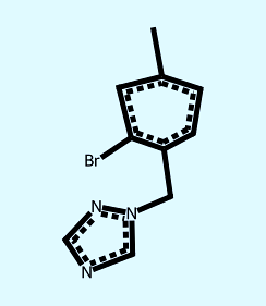 Cc1ccc(Cn2cncn2)c(Br)c1